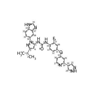 CC(C)c1cc(NC(=O)Nc2ccc(Oc3ccnc(-c4cn[nH]c4)c3)cc2F)n(-c2ccc3[nH]cnc3c2)n1